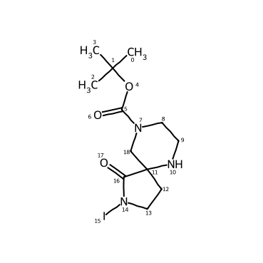 CC(C)(C)OC(=O)N1CCNC2(CCN(I)C2=O)C1